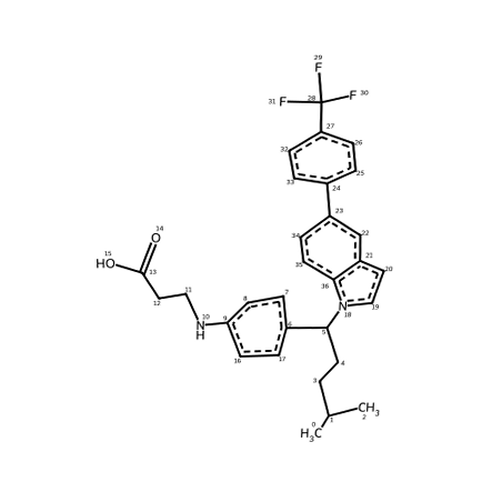 CC(C)CCC(c1ccc(NCCC(=O)O)cc1)n1ccc2cc(-c3ccc(C(F)(F)F)cc3)ccc21